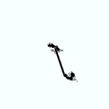 Cc1ncsc1-c1ccc(CNC(=O)[C@@H]2C[C@@H](O)CN2C(=O)[C@@H](NC(=O)COCCOCCOCCOCCOCCOCCOCCN2CCC(n3cc(-c4cnc(N)c(O[C@H](C)c5c(Cl)ccc(F)c5Cl)c4)cn3)CC2)C(C)(C)C)cc1